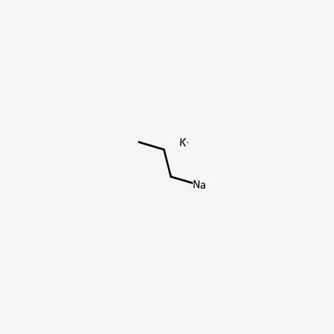 CC[CH2][Na].[K]